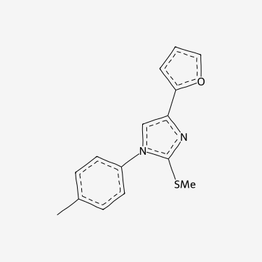 CSc1nc(-c2ccco2)cn1-c1ccc(C)cc1